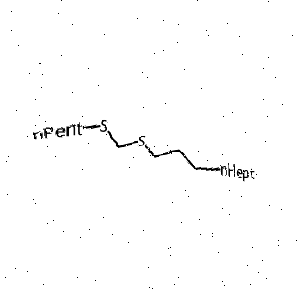 CCCCCCCCCCSCSCCCCC